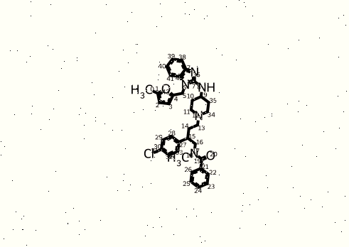 Cc1ccc(Cn2c(NC3CCN(CCC(CN(C)C(=O)c4ccccc4)c4ccc(Cl)cc4)CC3)nc3ccccc32)o1